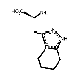 N[C@@H](Cc1n[nH]c2c1CCCC2)C(=O)O